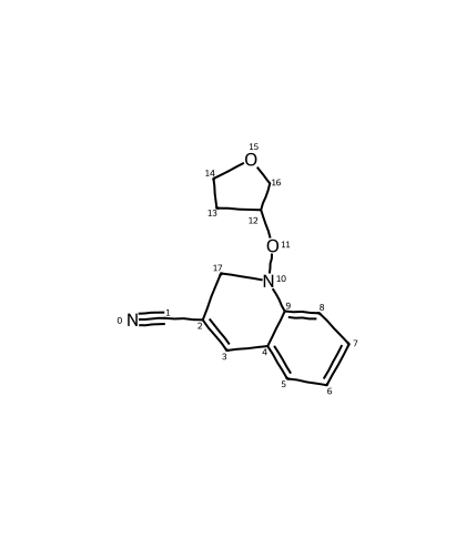 N#CC1=Cc2ccccc2N(OC2CCOC2)C1